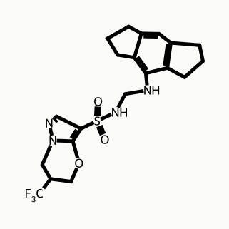 O=S(=O)(NCNc1c2c(cc3c1CCC3)CCC2)c1cnn2c1OCC(C(F)(F)F)C2